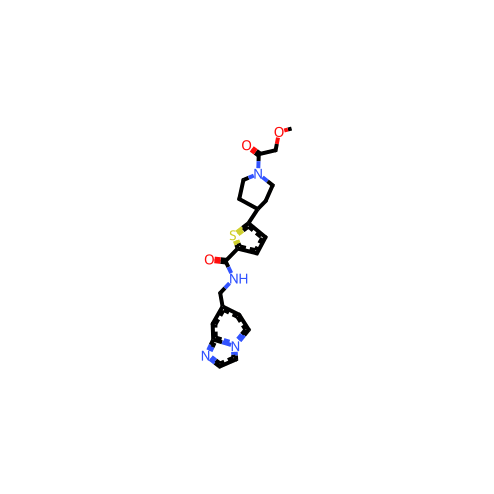 COCC(=O)N1CCC(c2ccc(C(=O)NCc3ccn4ccnc4c3)s2)CC1